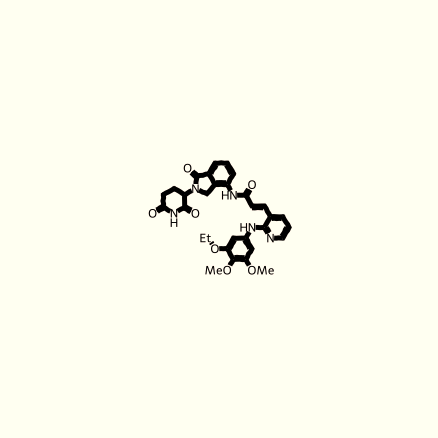 CCOc1cc(Nc2ncccc2/C=C/C(=O)Nc2cccc3c2CN(C2CCC(=O)NC2=O)C3=O)cc(OC)c1OC